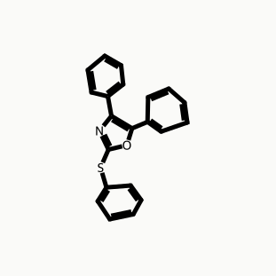 c1ccc(Sc2nc(-c3ccccc3)c(-c3ccccc3)o2)cc1